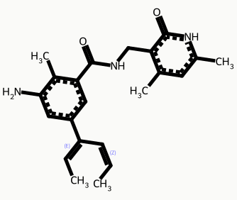 C/C=C\C(=C/C)c1cc(N)c(C)c(C(=O)NCc2c(C)cc(C)[nH]c2=O)c1